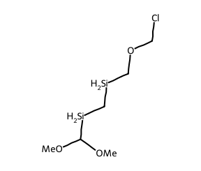 COC(OC)[SiH2]C[SiH2]COCCl